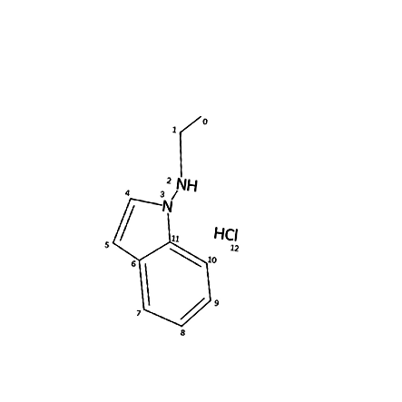 CCNn1ccc2ccccc21.Cl